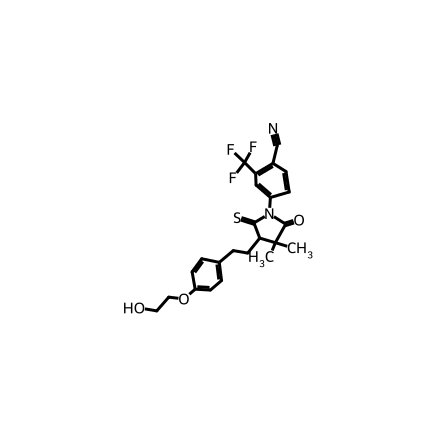 CC1(C)C(=O)N(c2ccc(C#N)c(C(F)(F)F)c2)C(=S)C1CCc1ccc(OCCO)cc1